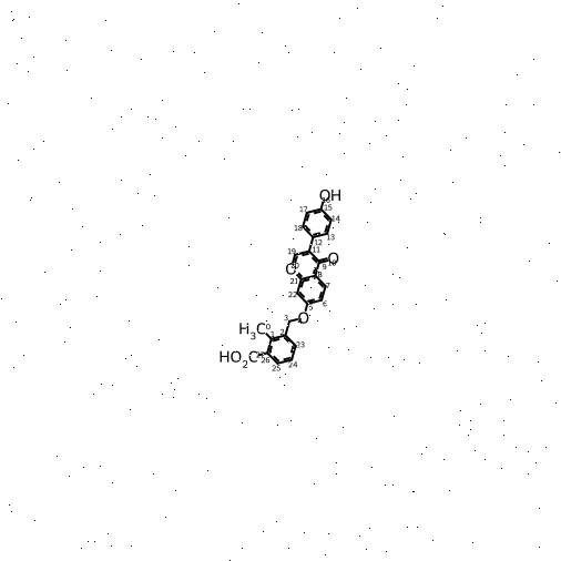 Cc1c(COc2ccc3c(=O)c(-c4ccc(O)cc4)coc3c2)cccc1C(=O)O